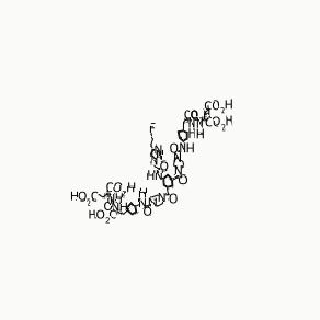 O=C(O)CC[C@H](NC(=O)N[C@@H](Cc1ccc(NC(=O)N2CCN(C(=O)c3cc(NC(=O)Cn4cc(CCCF)nn4)cc(C(=O)N4CCN(C(=O)Nc5ccc(C[C@H](NC(=O)N[C@@H](CCC(=O)O)C(=O)O)C(=O)O)cc5)CC4)c3)CC2)cc1)C(=O)O)C(=O)O